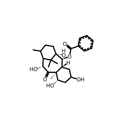 CC1CC[C@@]2(O)[C@@H](OC(=O)c3ccccc3)[C@@H]3CC(O)C[C@H](O)[C@@]3(C)C(=O)[C@H](O)C1C2(C)C